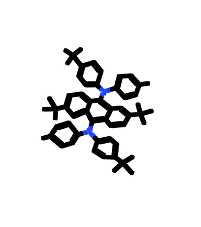 Cc1ccc(N(c2ccc(C(C)(C)C)cc2)c2c3ccc(C(C)(C)C)cc3c(N(c3ccc(C)cc3)c3ccc(C(C)(C)C)cc3)c3ccc(C(C)(C)C)cc23)cc1